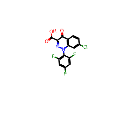 O=C(O)c1nn(-c2c(F)cc(F)cc2F)c2cc(Cl)ccc2c1=O